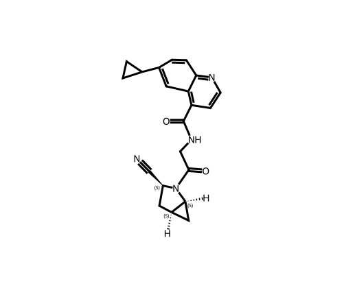 N#C[C@@H]1C[C@@H]2C[C@@H]2N1C(=O)CNC(=O)c1ccnc2ccc(C3CC3)cc12